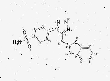 NS(=O)(=O)c1ccc(-n2nnnc2Sc2nc3ccccc3s2)cc1